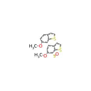 COc1ccc2ccsc2c1.COc1ccc2ccsc2c1.O=S